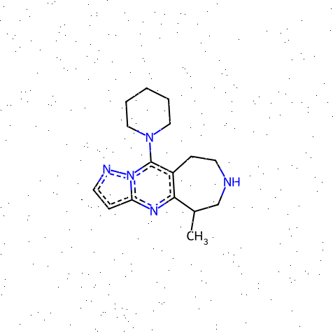 CC1CNCCc2c1nc1ccnn1c2N1CCCCC1